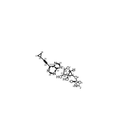 NS(=O)(=O)OC1[C@H]2O[C@@H](n3cnc4c(C#CC5CC5)ncnc43)[C@H](O)[C@@]12O